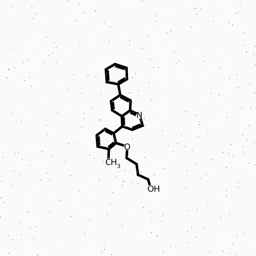 Cc1cccc(-c2ccnc3cc(-c4ccccc4)ccc23)c1OCCCCO